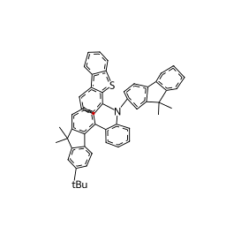 CC(C)(C)c1ccc2c(c1)C(C)(C)c1cccc(-c3ccccc3N(c3ccc4c(c3)C(C)(C)c3ccccc3-4)c3cccc4c3sc3ccccc34)c1-2